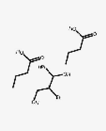 CCCC(=O)O.CCCC(=O)O.CCCC(O)C(CC)CO